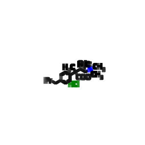 CC(=O)OC(C[N+](C)(C)C)C(C)(C(=O)[O-])c1ccc(CC(C)C)cc1.Cl